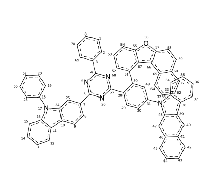 c1ccc(-c2nc(-c3ccc4c5ccccc5n(-c5ccccc5)c4c3)nc(-c3ccc(-n4c5ccccc5c5cc6ccccc6cc54)cc3-c3cccc4oc5ccc6ccccc6c5c34)n2)cc1